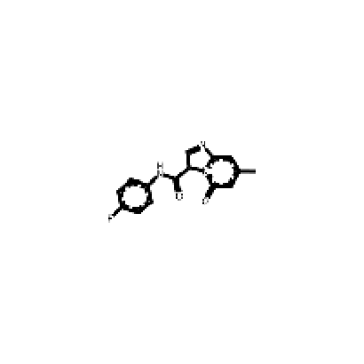 Cc1cc2n(c(=O)c1)C(C(=O)Nc1ccc(F)cc1)C=N2